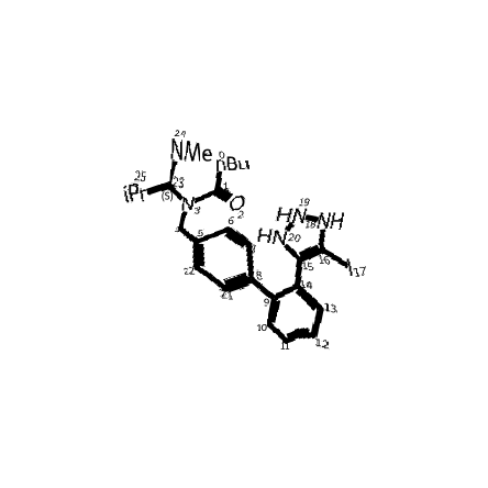 CCCCC(=O)N(Cc1ccc(-c2ccccc2C2=C(I)NNN2)cc1)[C@H](NC)C(C)C